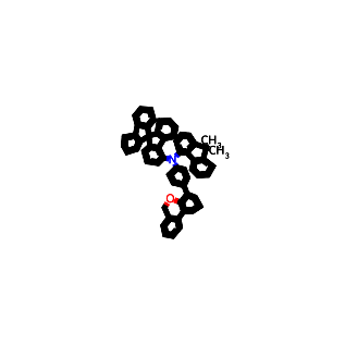 CC1(C)c2ccccc2-c2c(N(c3ccc(-c4cccc5c4OCc4ccccc4-5)cc3)c3cccc4c3-c3ccccc3C43c4ccccc4-c4ccccc43)cccc21